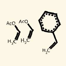 C=COC(C)=O.C=COC(C)=O.C=Cc1ccccc1